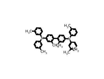 C=C(C)/C=C(\C=C/C)N(c1cccc(C)c1)c1ccc(-c2ccc(N(c3cccc(C)c3)c3cccc(C)c3)cc2C)c(C)c1